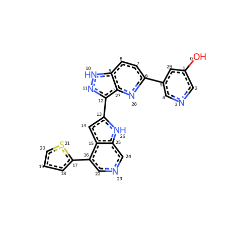 Oc1cncc(-c2ccc3[nH]nc(-c4cc5c(-c6cccs6)cncc5[nH]4)c3n2)c1